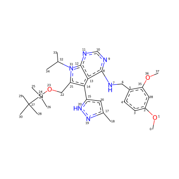 COc1ccc(CNc2ncnc3c2c(-c2cc(C)n[nH]2)c(CO[Si](C)(C)C(C)(C)C)n3C(C)C)c(OC)c1